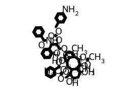 CC(=O)O[C@H]1C(=O)[C@@]2(C)C([C@H](OC(=O)c3ccccc3)[C@]3(O)C[C@H](OC(=O)[C@H](OC(=O)OCc4ccc(N)cc4)[C@@H](NC(=O)c4ccccc4)c4ccccc4)C(C)=C1C3(C)C)[C@]1(OC(C)=O)CO[C@@H]1C[C@@H]2O